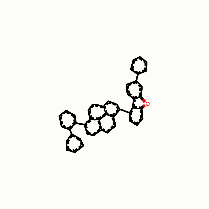 c1ccc(-c2ccc3c(c2)oc2cccc(-c4ccc5ccc6c(-c7ccccc7-c7ccccc7)ccc7ccc4c5c76)c23)cc1